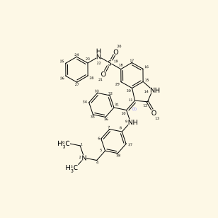 CCN(C)Cc1ccc(N/C(=C2\C(=O)Nc3ccc(S(=O)(=O)Nc4ccccc4)cc32)c2ccccc2)cc1